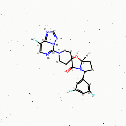 O=C1N2[C@@H](CC[C@H]2c2cc(F)cc(F)c2)OC12CCN(c1ncc(F)c3ncnn13)CC2